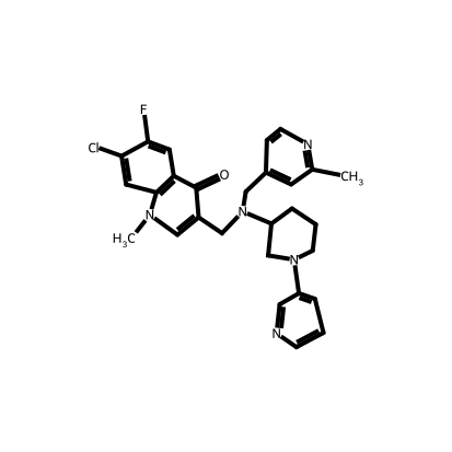 Cc1cc(CN(Cc2cn(C)c3cc(Cl)c(F)cc3c2=O)C2CCCN(c3cccnc3)C2)ccn1